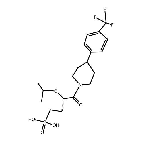 CC(C)O[C@@H](CCP(=O)(O)O)C(=O)N1CCC(c2ccc(C(F)(F)F)cc2)CC1